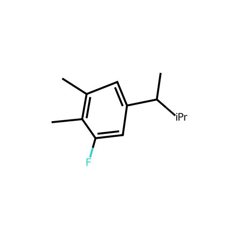 Cc1cc(C(C)C(C)C)cc(F)c1C